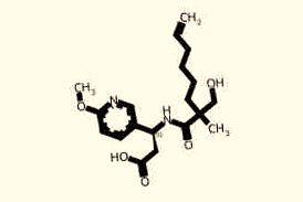 C=CCCCCC(C)(CO)C(=O)N[C@@H](CC(=O)O)c1ccc(OC)nc1